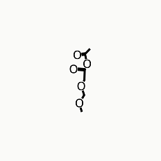 COCOCC(=O)OC(C)=O